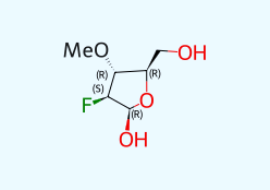 CO[C@H]1[C@H](F)[C@H](O)O[C@@H]1CO